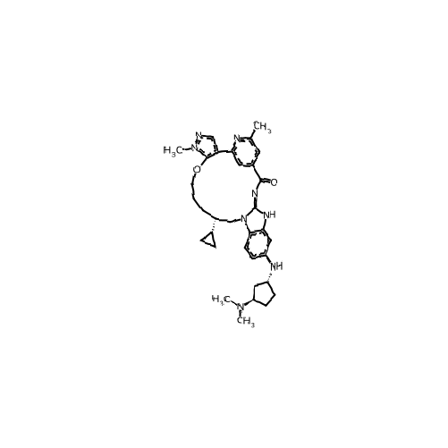 Cc1cc2cc(n1)-c1cnn(C)c1OCCC[C@@H](C1CC1)CN1/C(=N/C2=O)Nc2cc(N[C@@H]3CC[C@@H](N(C)C)C3)ccc21